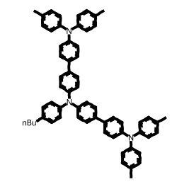 CCCCc1ccc(N(c2ccc(-c3ccc(N(c4ccc(C)cc4)c4ccc(C)cc4)cc3)cc2)c2ccc(-c3ccc(N(c4ccc(C)cc4)c4ccc(C)cc4)cc3)cc2)cc1